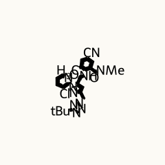 CNC(=O)c1cc(C#N)cc(C)c1NC(=O)c1cc(Cn2nnc(C(C)(C)C)n2)nn1-c1ncccc1Cl